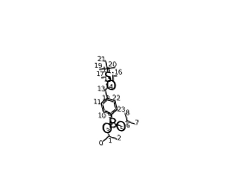 CC(C)OB(OC(C)C)c1ccc(CO[Si](C)(C)C(C)(C)C)cc1